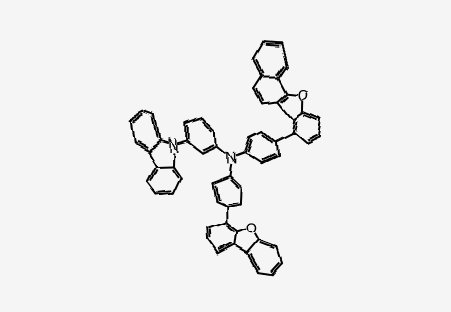 c1cc(N(c2ccc(-c3cccc4c3oc3ccccc34)cc2)c2ccc(-c3cccc4oc5c6ccccc6ccc5c34)cc2)cc(-n2c3ccccc3c3ccccc32)c1